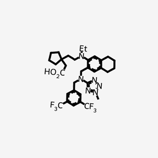 CCN(CCC1(CC(=O)O)CCCC1)c1cc2c(cc1CN(Cc1cc(C(F)(F)F)cc(C(F)(F)F)c1)c1nnn(C)n1)CCCC2